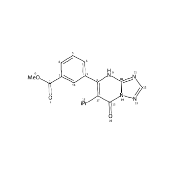 COC(=O)c1cccc(-c2[nH]c3ncnn3c(=O)c2C(C)C)c1